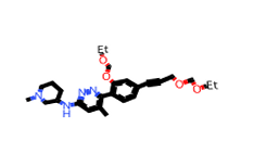 CCOCOCC#Cc1ccc(-c2nnc(NC3CCCN(C)C3)cc2C)c(OCOCC)c1